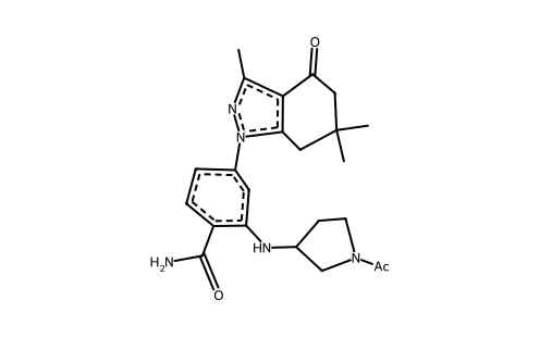 CC(=O)N1CCC(Nc2cc(-n3nc(C)c4c3CC(C)(C)CC4=O)ccc2C(N)=O)C1